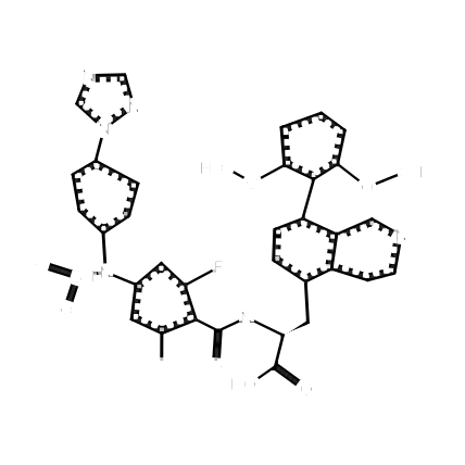 COc1cccc(OC)c1-c1ccc(C[C@H](NC(=O)c2c(F)cc(N(c3ccc(-n4cncn4)cc3)[SH](=O)=O)cc2F)C(=O)O)c2ccncc12